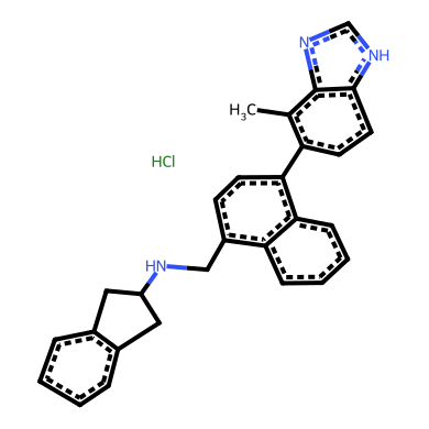 Cc1c(-c2ccc(CNC3Cc4ccccc4C3)c3ccccc23)ccc2[nH]cnc12.Cl